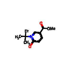 CCC(C)(C)n1cc(C(=O)OC)ccc1=O